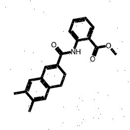 COC(=O)c1ccccc1NC(=O)C1=Cc2cc(C)c(C)cc2CC1